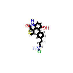 O=c1[nH]c2ccc(O)c(-c3ccc(CCCNCl)cc3)c2c2ccsc12